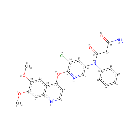 COc1cc2nccc(Oc3ncc(N(C(=O)CC(N)=O)c4ccccc4)cc3Cl)c2cc1OC